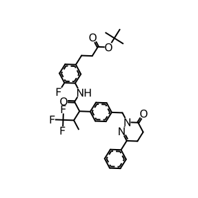 CC(C(C(=O)Nc1cc(CCC(=O)OC(C)(C)C)ccc1F)c1ccc(CN2N=C(c3ccccc3)CCC2=O)cc1)C(F)(F)F